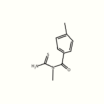 Cc1ccc(C(=O)N(C)C(N)=S)cc1